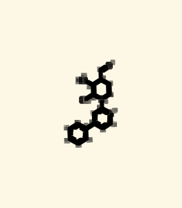 O=CC1C=CN(c2cc(-c3ccccc3)ccn2)C(Cl)=C1O